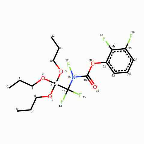 CCCO[Si](OCCC)(OCCC)C(F)(F)N(F)C(=O)Oc1cccc(F)c1F